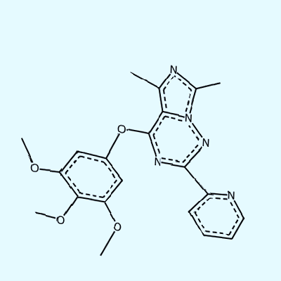 COc1cc(Oc2nc(-c3ccccn3)nn3c(C)nc(C)c23)cc(OC)c1OC